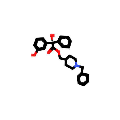 O=C(OCC1CCN(Cc2ccccc2)CC1)[C@](O)(c1ccccc1)c1cccc(O)c1